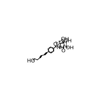 CSC1(C(NC(=O)c2ccc(C#CC#CCCO)cc2)C(=O)NO)CS(O)(O)C1